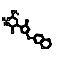 CC(C)CC(C(=O)O)N1CC(Oc2ccc3c(c2)OCCO3)=CC1=O